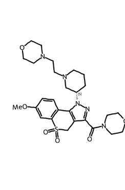 COc1ccc2c(c1)S(=O)(=O)Cc1c(C(=O)N3CCOCC3)nn([C@H]3CCCN(CCN4CCOCC4)C3)c1-2